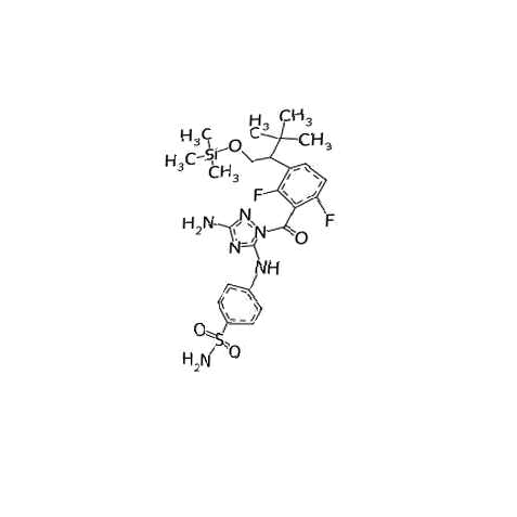 CC(C)(C)C(CO[Si](C)(C)C)c1ccc(F)c(C(=O)n2nc(N)nc2Nc2ccc(S(N)(=O)=O)cc2)c1F